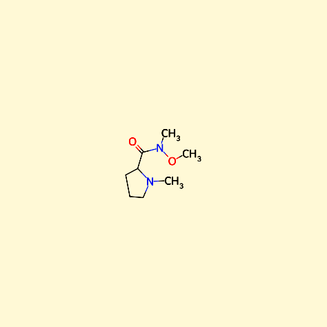 CON(C)C(=O)C1CCCN1C